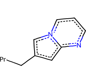 CC(C)Cc1cc2ncccn2c1